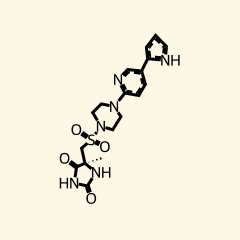 C[C@]1(CS(=O)(=O)N2CCN(c3ccc(-c4ccc[nH]4)cn3)CC2)NC(=O)NC1=O